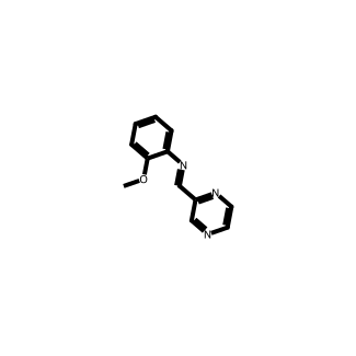 COc1ccccc1N=Cc1cnccn1